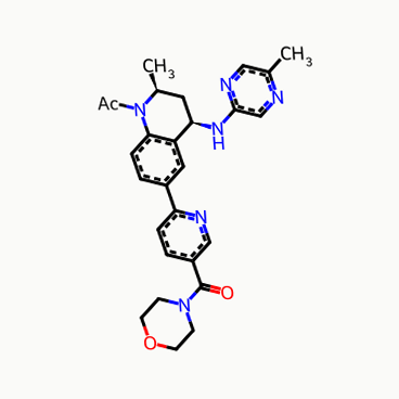 CC(=O)N1c2ccc(-c3ccc(C(=O)N4CCOCC4)cn3)cc2[C@H](Nc2cnc(C)cn2)C[C@@H]1C